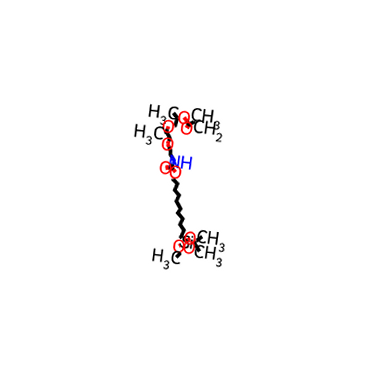 C=C(C)C(=O)OC(C)COC(C)COCCNC(=O)OCCCCCCCCCCC[Si](OCC)(OCC)OCC